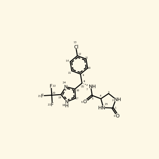 O=C1NCC(C(=O)N[C@@H](c2ccc(Cl)cc2)c2c[nH]c(C(F)(F)F)n2)N1